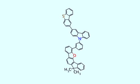 CC1(C)c2ccccc2-c2c1ccc1c2oc2c(-c3cccc(-n4c5ccccc5c5cc(-c6ccc7sc8ccccc8c7c6)ccc54)c3)cccc21